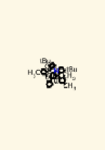 Cc1cc(C)c(B2c3cc(C(C)(C)C)ccc3N3c4ccc(C(C)(C)C)cc4B(c4c(C)cc(C)cc4C)c4cc(C5CCCCC5)cc2c43)c(C)c1